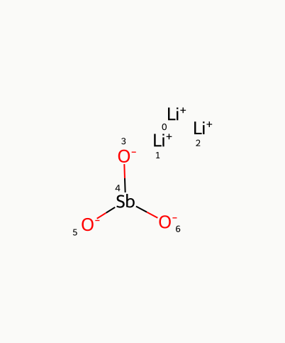 [Li+].[Li+].[Li+].[O-][Sb]([O-])[O-]